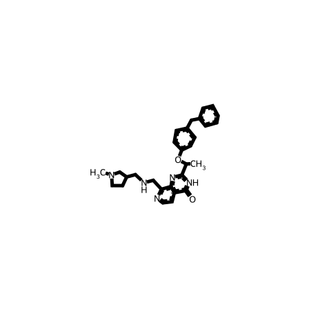 CC(Oc1ccc(Cc2ccccc2)cc1)c1nc2c(CNCC3CCN(C)C3)nccc2c(=O)[nH]1